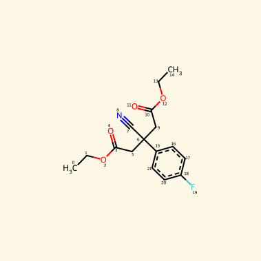 CCOC(=O)CC(C#N)(CC(=O)OCC)c1ccc(F)cc1